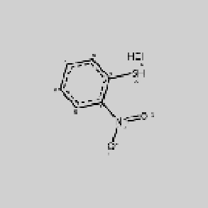 Cl.O=[N+]([O-])c1ccccc1S